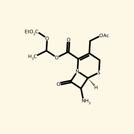 CCOC(=O)OC(C)OC(=O)C1=C(COC(C)=O)CS[C@H]2C(N)C(=O)N12